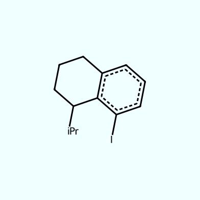 CC(C)C1CCCc2cccc(I)c21